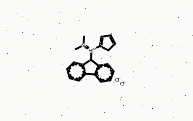 C[Si](C)=[Hf+2]([C]1=CC=CC1)[CH]1c2ccccc2-c2ccccc21.[Cl-].[Cl-]